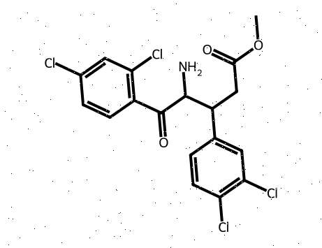 COC(=O)CC(c1ccc(Cl)c(Cl)c1)C(N)C(=O)c1ccc(Cl)cc1Cl